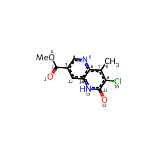 COC(=O)c1cnc2c(C)c(Cl)c(=O)[nH]c2c1